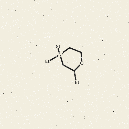 CCC1C[N+](CC)(CC)CCO1